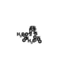 COc1ccc(-c2cc(C3=C(c4csc(-c5ccc(OC)c(-c6cc7ccccc7cn6)c5)c4)C(F)(F)C(F)(F)C3(F)F)cs2)cc1-c1cc2ccccc2cn1